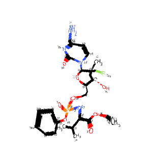 COC(=O)C(NP(=O)(OC[C@H]1O[C@@H](n2ccc(N)nc2=O)[C@](C)(F)[C@@H]1O)Oc1ccccc1)C(C)C